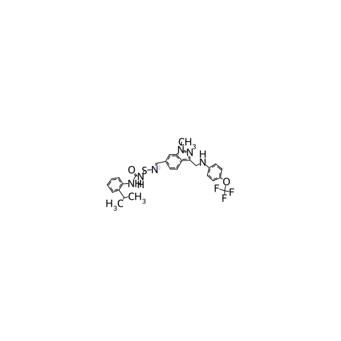 CC(C)c1ccccc1NC(=O)NS/N=C/c1ccc2c(CNc3ccc(OC(F)(F)F)cc3)nn(C)c2c1